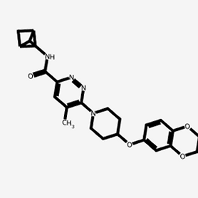 Cc1cc(C(=O)NC2C3CC2C3)nnc1N1CCC(Oc2ccc3c(c2)OCCO3)CC1